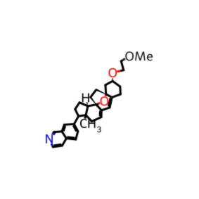 COCCO[C@@H]1CCC2=CC3=CCC4(C)C(c5ccc6ccncc6c5)CC[C@H]4[C@@]34CC[C@]2(C1)O4